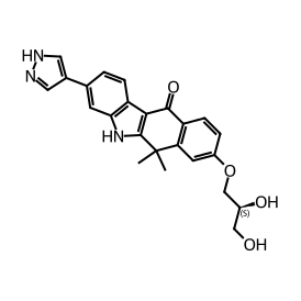 CC1(C)c2cc(OC[C@@H](O)CO)ccc2C(=O)c2c1[nH]c1cc(-c3cn[nH]c3)ccc21